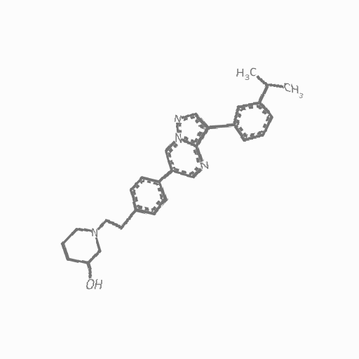 CC(C)c1cccc(-c2cnn3cc(-c4ccc(CCN5CCCC(O)C5)cc4)cnc23)c1